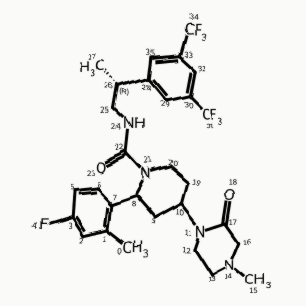 Cc1cc(F)ccc1C1CC(N2CCN(C)CC2=O)CCN1C(=O)NC[C@H](C)c1cc(C(F)(F)F)cc(C(F)(F)F)c1